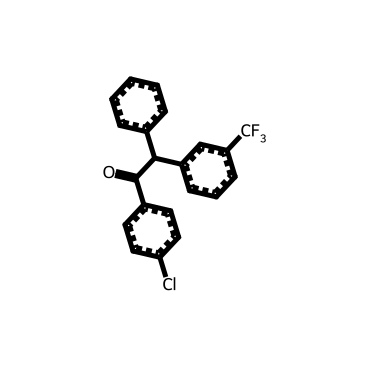 O=C(c1ccc(Cl)cc1)C(c1ccccc1)c1cccc(C(F)(F)F)c1